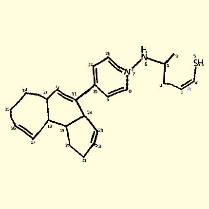 CC(C/C=C\S)N[n+]1ccc(C2=CC3CCC=CC3C3CCC=CC23)cc1